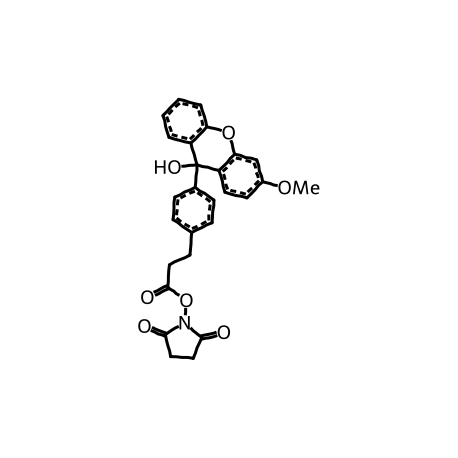 COc1ccc2c(c1)Oc1ccccc1C2(O)c1ccc(CCC(=O)ON2C(=O)CCC2=O)cc1